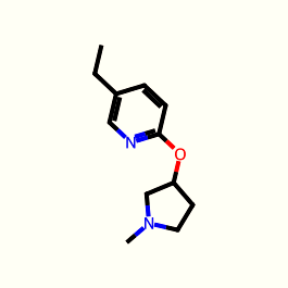 CCc1ccc(OC2CCN(C)C2)nc1